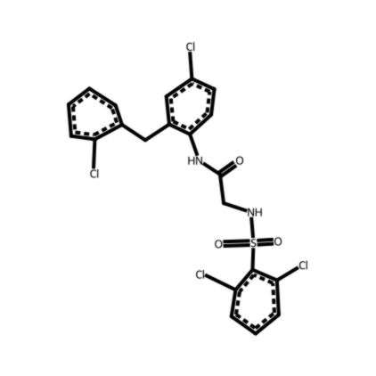 O=C(CNS(=O)(=O)c1c(Cl)cccc1Cl)Nc1ccc(Cl)cc1Cc1ccccc1Cl